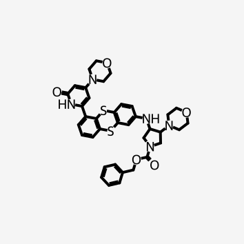 O=C(OCc1ccccc1)N1CC(Nc2ccc3c(c2)Sc2cccc(-c4cc(N5CCOCC5)cc(=O)[nH]4)c2S3)C(N2CCOCC2)C1